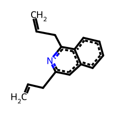 C=CCc1cc2ccccc2c(CC=C)n1